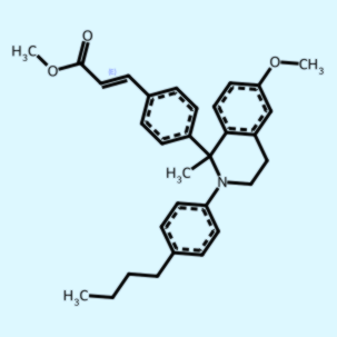 CCCCc1ccc(N2CCc3cc(OC)ccc3C2(C)c2ccc(/C=C/C(=O)OC)cc2)cc1